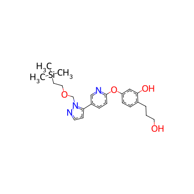 C[Si](C)(C)CCOCn1nccc1-c1ccc(Oc2ccc(CCCO)c(O)c2)nc1